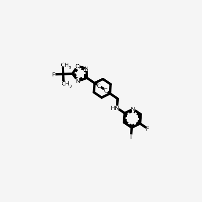 CC(C)(F)c1nc(C23CCC(CNc4cc(I)c(F)cn4)(CC2)CC3)no1